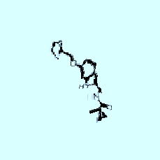 CC1(C(=O)NCc2cc3ccc(OCc4nncs4)cc3[nH]2)CC1